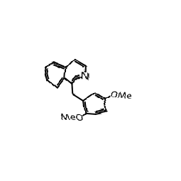 COc1ccc(OC)c(Cc2nccc3ccccc23)c1